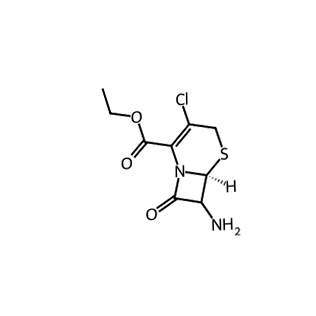 CCOC(=O)C1=C(Cl)CS[C@H]2C(N)C(=O)N12